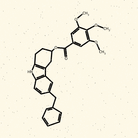 COc1cc(C(=O)OC2CCc3[nH]c4ccc(Cc5ccccc5)cc4c3C2)cc(OC)c1OC